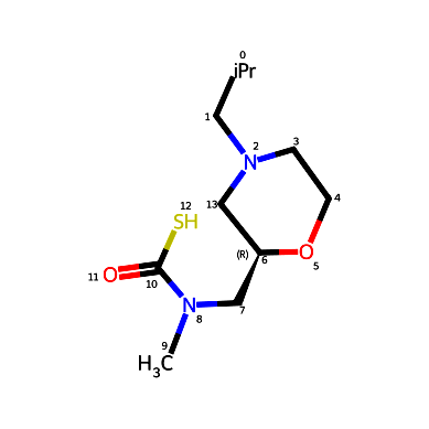 CC(C)CN1CCO[C@@H](CN(C)C(=O)S)C1